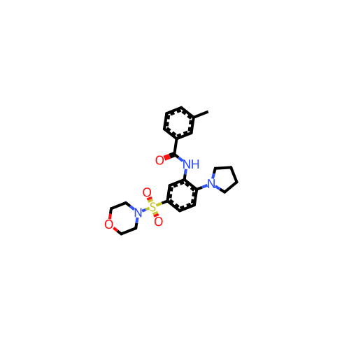 Cc1cccc(C(=O)Nc2cc(S(=O)(=O)N3CCOCC3)ccc2N2CCCC2)c1